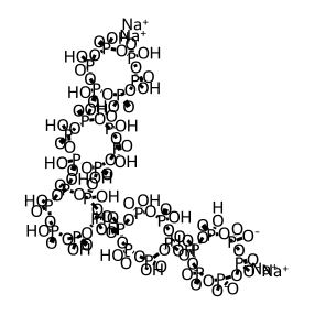 O=P1(O)OP(=O)(O)OP(=O)(O)OP(=O)(O)OP(=O)(O)OP(=O)(O)O1.O=P1(O)OP(=O)(O)OP(=O)(O)OP(=O)(O)OP(=O)(O)OP(=O)(O)O1.O=P1(O)OP(=O)(O)OP(=O)(O)OP(=O)(O)OP(=O)(O)OP(=O)(O)O1.O=P1(O)OP(=O)(O)OP(=O)(O)OP(=O)(O)OP(=O)(O)OP(=O)(O)O1.O=P1([O-])OP(=O)([O-])OP(=O)([O-])OP(=O)(O)OP(=O)(O)OP(=O)([O-])O1.[Na+].[Na+].[Na+].[Na+]